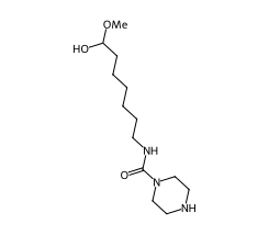 COC(O)CCCCCCNC(=O)N1CCNCC1